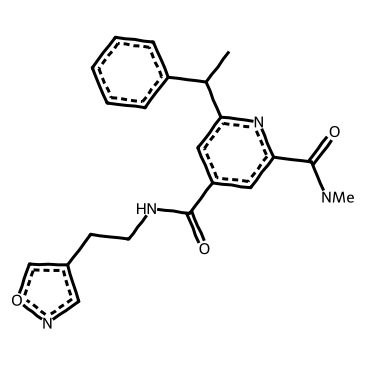 CNC(=O)c1cc(C(=O)NCCc2cnoc2)cc(C(C)c2ccccc2)n1